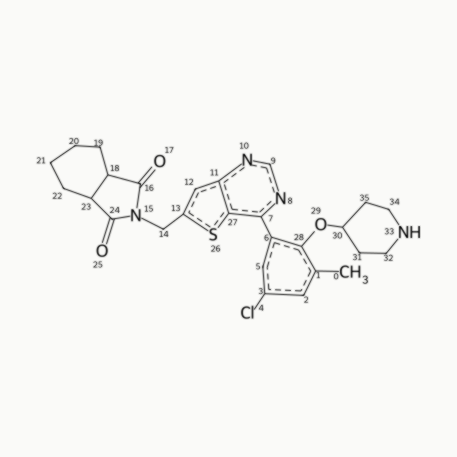 Cc1cc(Cl)cc(-c2ncnc3cc(CN4C(=O)C5CCCCC5C4=O)sc23)c1OC1CCNCC1